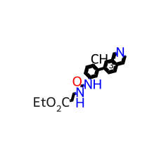 CCOC(=O)CCNC(=O)Nc1ccc(C)c(-c2ccc3ccncc3c2)c1